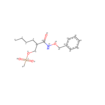 CCCCC(COS(C)(=O)=O)C(=O)NOCc1ccccc1